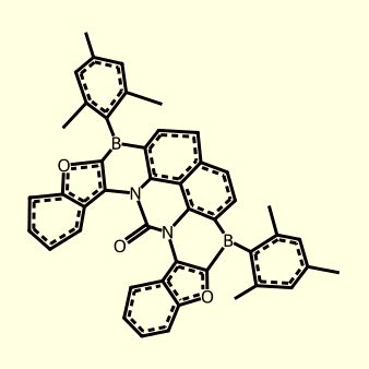 Cc1cc(C)c(B2c3ccc4ccc5c6c4c3N(C(=O)N6c3c(oc4ccccc34)B5c3c(C)cc(C)cc3C)c3c2oc2ccccc32)c(C)c1